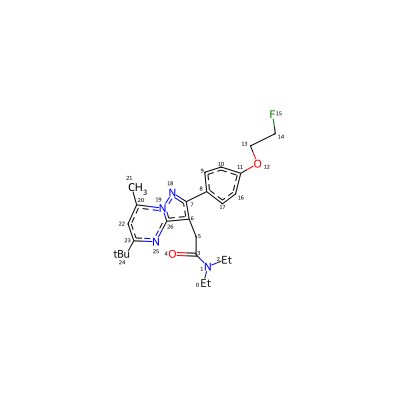 CCN(CC)C(=O)Cc1c(-c2ccc(OCCF)cc2)nn2c(C)cc(C(C)(C)C)nc12